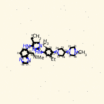 C=Cc1cnc(Nc2cc(CC)c(N3CCC(N4CCN(C)CC4)CC3)cc2C)nc1Nc1ccc2nccnc2c1CNC